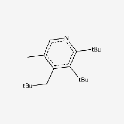 Cc1cnc(C(C)(C)C)c(C(C)(C)C)c1CC(C)(C)C